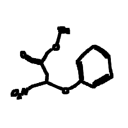 CC(C)(C)OC(=O)C(Oc1ccccc1)[N+](=O)[O-]